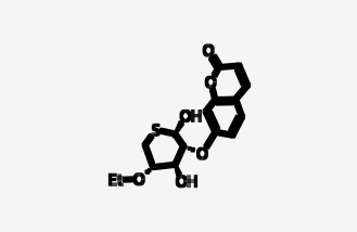 CCO[C@@H]1CS[C@@H](O)[C@H](Oc2ccc3ccc(=O)oc3c2)[C@H]1O